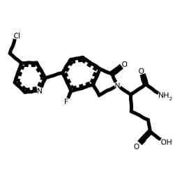 NC(=O)C(CCC(=O)O)N1Cc2c(ccc(-c3cc(CCl)ccn3)c2F)C1=O